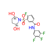 O=C(Nc1cc(F)c(F)c(F)c1)c1ccc(F)c(S(=O)(=O)N2C[C@H](O)CC[C@@H](O)C2)c1